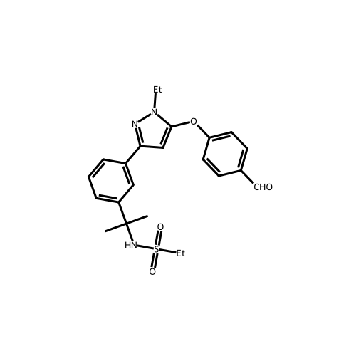 CCn1nc(-c2cccc(C(C)(C)NS(=O)(=O)CC)c2)cc1Oc1ccc(C=O)cc1